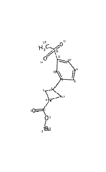 CC(C)(C)OC(=O)N1CC(c2cccc(S(C)(=O)=O)c2)C1